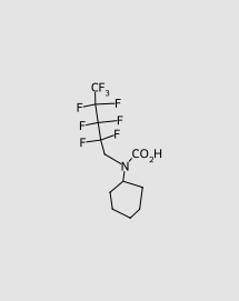 O=C(O)N(CC(F)(F)C(F)(F)C(F)(F)C(F)(F)F)C1CCCCC1